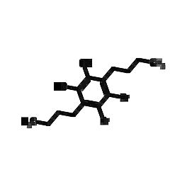 CCCCc1c(O)c(O)c(CCCC)c(Br)c1Br